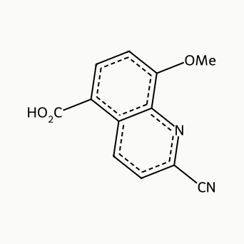 COc1ccc(C(=O)O)c2ccc(C#N)nc12